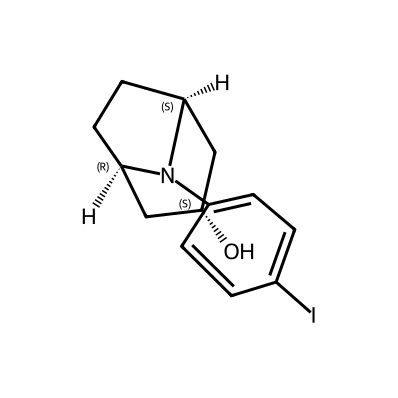 O[C@@H]1C[C@H]2CC[C@@H](C1)N2c1ccc(I)cc1